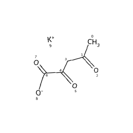 CC(=O)CC(=O)C(=O)[O-].[K+]